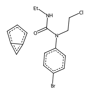 CCNC(=O)N(CCCl)c1ccc(Br)cc1.c1cc2cc-2c1